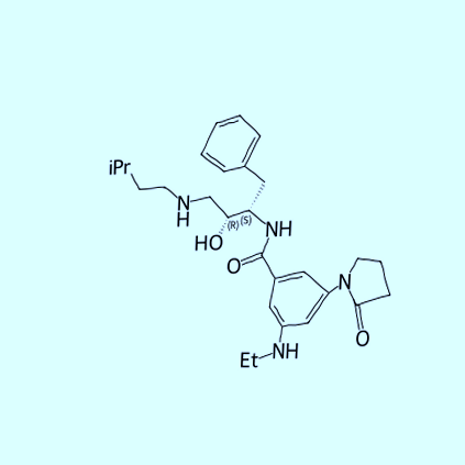 CCNc1cc(C(=O)N[C@@H](Cc2ccccc2)[C@H](O)CNCCC(C)C)cc(N2CCCC2=O)c1